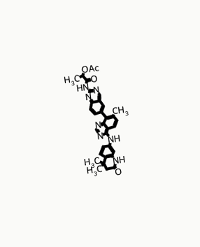 CC(=O)OC(C)C(=O)Nc1ncc2cc(-c3c(C)ccc4c(Nc5ccc6c(c5)NC(=O)CC6(C)C)ncnc34)ccc2n1